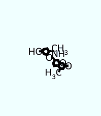 Cc1cc(=O)oc2cc(C(=O)NC(C)c3ccc(O)cc3)ccc12